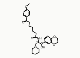 COc1ccc(C(=O)CCCCCC(=O)N[C@H](CN2CCCCC2)[C@H](O)c2ccc3c(c2)OCCO3)cc1